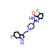 O=c1[nH]c(C2CCN(CCc3c[nH]c4cc(F)ccc34)CC2)nc2cccc(F)c12